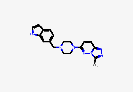 FC(F)(F)c1nnc2ccc(N3CCN(Cc4ccc5cc[nH]c5c4)CC3)nn12